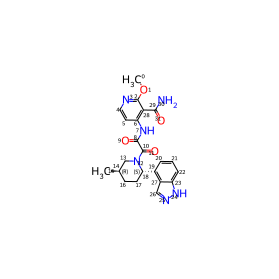 COc1nccc(NC(=O)C(=O)N2C[C@H](C)CC[C@H]2c2cccc3[nH]ncc23)c1C(N)=O